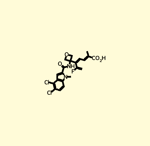 C=C(F)/C(=C\C=C(/C)C(=O)O)C1(NC(=O)c2cc3c(Cl)c(Cl)ccc3n2C)COC1